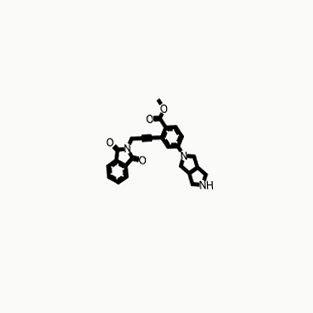 COC(=O)c1ccc(N2CC3CNCC3C2)cc1C#CCN1C(=O)c2ccccc2C1=O